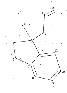 C=CCC1(C)CCc2ccccc21